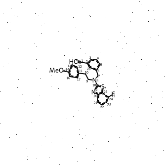 C#Cc1cccc(CN(CCc2ccc(OC)cc2)c2nc3cccc(F)c3s2)c1